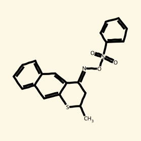 CC1CC(=NOS(=O)(=O)c2ccccc2)c2cc3ccccc3cc2S1